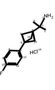 CC(C)(N)C12CC(c3ccc(F)cc3)(C1)C2.Cl